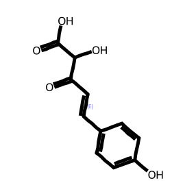 O=C(O)C(O)C(=O)/C=C/c1ccc(O)cc1